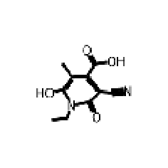 CCn1c(O)c(C)c(C(=O)O)c(C#N)c1=O